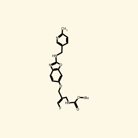 Cc1ccc(CNc2nc3ccc(OCC(=CF)CNC(=O)OC(C)(C)C)cc3o2)cn1